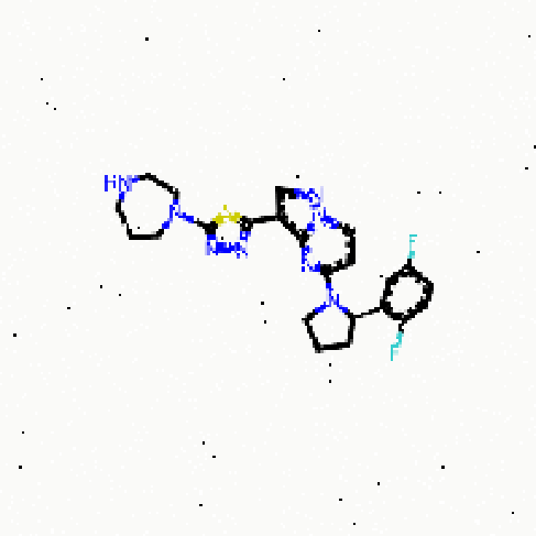 Fc1ccc(F)c([C@H]2CCCN2c2ccn3ncc(-c4nnc(N5CCCNCC5)s4)c3n2)c1